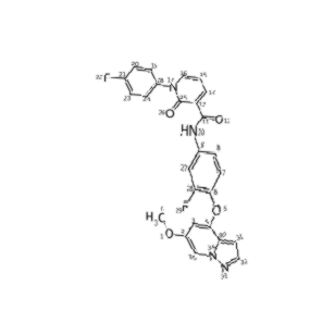 COc1cc(Oc2ccc(NC(=O)c3cccn(-c4ccc(F)cc4)c3=O)cc2F)c2ccnn2c1